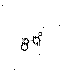 Clc1cncc(-c2cnn3ccccc23)n1